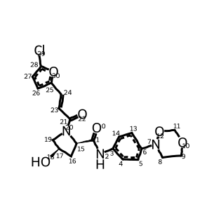 O=C(Nc1ccc(N2CCOCO2)cc1)[C@H]1C[C@@H](O)CN1C(=O)C=Cc1ccc(Cl)o1